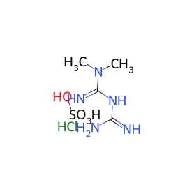 CN(C)C(=N)NC(=N)N.Cl.O=S(=O)(O)O